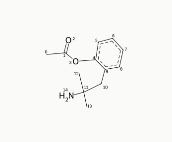 CC(=O)Oc1ccccc1CC(C)(C)N